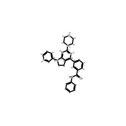 O=C(Nc1ccccc1)c1cccc(-c2nc(N3CCOCC3)nc3c2CCN3c2cccnc2)c1